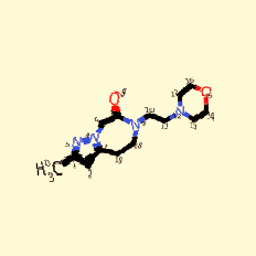 Cc1cc2n(n1)CC(=O)N(CCN1CCOCC1)CC2